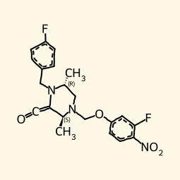 C[C@@H]1CN(COc2ccc([N+](=O)[O-])c(F)c2)[C@@H](C)C(=C=O)N1Cc1ccc(F)cc1